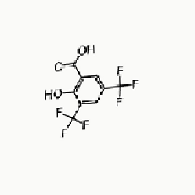 O=C(O)c1cc(C(F)(F)F)cc(C(F)(F)F)c1O